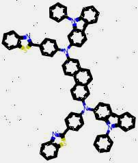 c1ccc(-n2c3ccccc3c3ccc(N(c4ccc(-c5nc6ccccc6s5)cc4)c4ccc5c(ccc6cc(N(c7ccc(-c8nc9ccccc9s8)cc7)c7ccc8c9ccccc9n(-c9ccccc9)c8c7)ccc65)c4)cc32)cc1